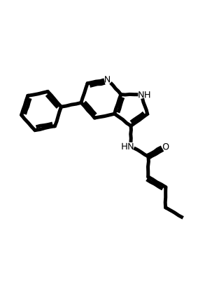 CC/C=C/C(=O)Nc1c[nH]c2ncc(-c3ccccc3)cc12